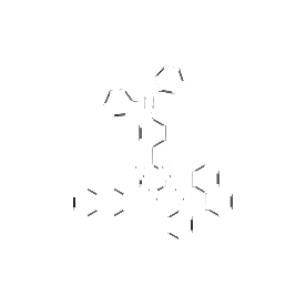 c1ccc(-n2c3ccccc3c3cc(-c4nc(-c5ccc6ccccc6c5)nc(N5c6ccccc6-c6cccc7cccc5c67)n4)ccc32)cc1